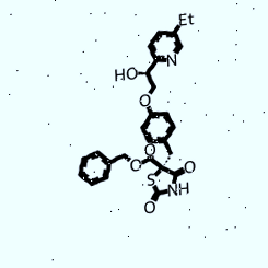 CCc1ccc([C@H](O)COc2ccc(C[C@@]3(C(=O)OCc4ccccc4)SC(=O)NC3=O)cc2)nc1